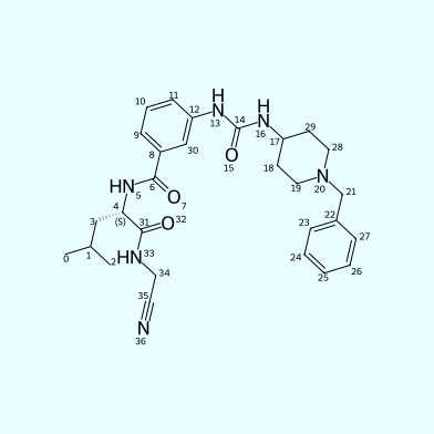 CC(C)C[C@H](NC(=O)c1cccc(NC(=O)NC2CCN(Cc3ccccc3)CC2)c1)C(=O)NCC#N